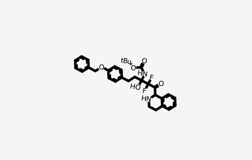 CC(C)(C)OC(=O)NC(O)(CCc1ccc(OCc2ccccc2)cc1)C(F)(F)C(=O)C1NCCc2ccccc21